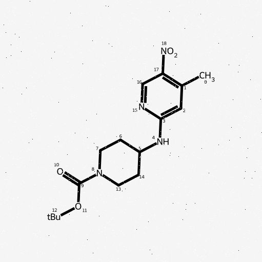 Cc1cc(NC2CCN(C(=O)OC(C)(C)C)CC2)ncc1[N+](=O)[O-]